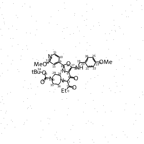 CCC(=O)C(C(=O)c1nc(-c2ccnc(OC)c2)oc1NCc1ccc(OC)cc1)N1CCN(C(=O)OC(C)(C)C)CC1